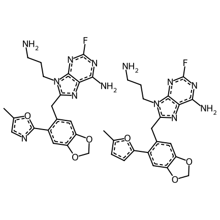 Cc1ccc(-c2cc3c(cc2Cc2nc4c(N)nc(F)nc4n2CCCN)OCO3)o1.Cc1cnc(-c2cc3c(cc2Cc2nc4c(N)nc(F)nc4n2CCCN)OCO3)o1